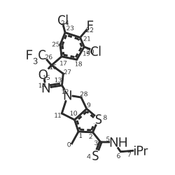 Cc1c(C(=S)NCC(C)C)sc2c1CN(C1=NOC(c3cc(Cl)c(F)c(Cl)c3)(C(F)(F)F)C1)C2